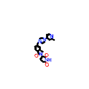 Cc1cc(N2CCN(Cc3ccc4c(c3)CN(C3CCC(=O)NC3=O)C4=O)CC2)ccn1